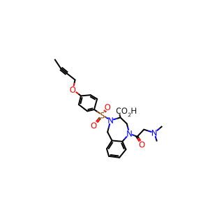 CC#CCOc1ccc(S(=O)(=O)N2Cc3ccccc3N(C(=O)CN(C)C)CC2C(=O)O)cc1